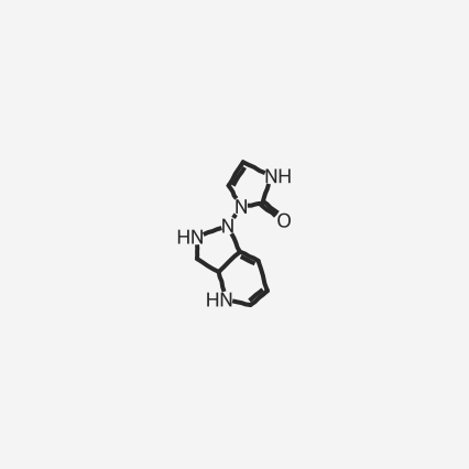 O=c1[nH]ccn1N1NCC2NC=CC=C21